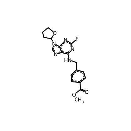 COC(=O)c1ccc(CNc2nc(F)nc3c2ncn3C2CCCO2)cc1